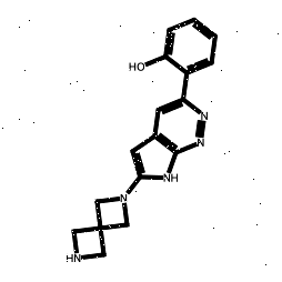 Oc1ccccc1-c1cc2cc(N3CC4(CNC4)C3)[nH]c2nn1